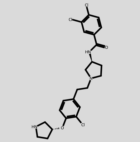 O=C(N[C@H]1CCN(CCc2ccc(O[C@@H]3CCNC3)c(Cl)c2)C1)c1ccc(Cl)c(Cl)c1